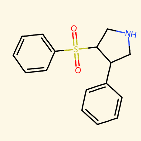 O=S(=O)(c1ccccc1)C1CNCC1c1ccccc1